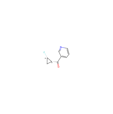 O=C(c1cccnc1)[C@@H]1C[C@@H]1F